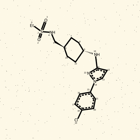 CCS(=O)(=O)NC[C@H]1CC[C@H](Nc2ccn(-c3ccc(Cl)cc3)n2)CC1